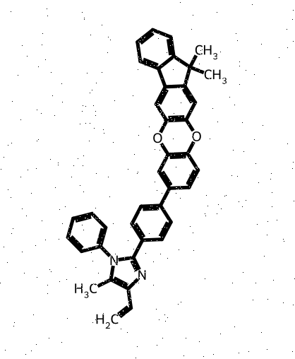 C=Cc1nc(-c2ccc(-c3ccc4c(c3)Oc3cc5c(cc3O4)C(C)(C)c3ccccc3-5)cc2)n(-c2ccccc2)c1C